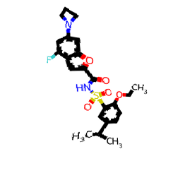 CCOc1ccc(C(C)C)cc1S(=O)(=O)NC(=O)c1cc2c(F)cc(N3CCC3)cc2o1